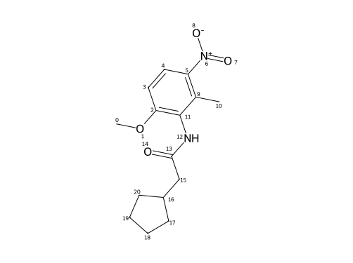 COc1ccc([N+](=O)[O-])c(C)c1NC(=O)CC1CCCC1